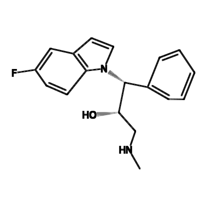 CNC[C@H](O)[C@@H](c1ccccc1)n1ccc2cc(F)ccc21